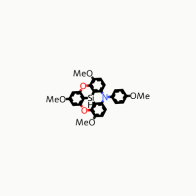 COc1ccc(N2c3ccc(OC)c4c3[SiH]3c5c(cc(OC)cc5Oc5c(OC)ccc2c53)O4)cc1